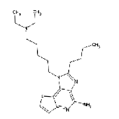 CCCCc1nc2c(N)nc3ccsc3c2n1CCCCCN(CC)CC